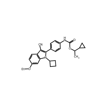 CCOc1ccc2c(C#N)c(-c3ccc(NC(=O)OC(C)C4CC4)cc3)n(C3CCC3)c2c1